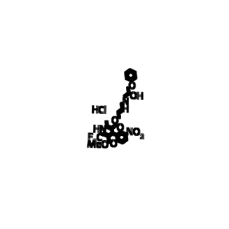 COC(=O)C1=C(C(F)(F)F)NC(C)=C(C(=O)OCC=CCNCC(O)COc2ccccc2)C1c1cccc([N+](=O)[O-])c1.Cl